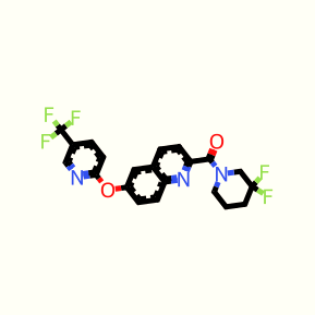 O=C(c1ccc2cc(Oc3ccc(C(F)(F)F)cn3)ccc2n1)N1CCCC(F)(F)C1